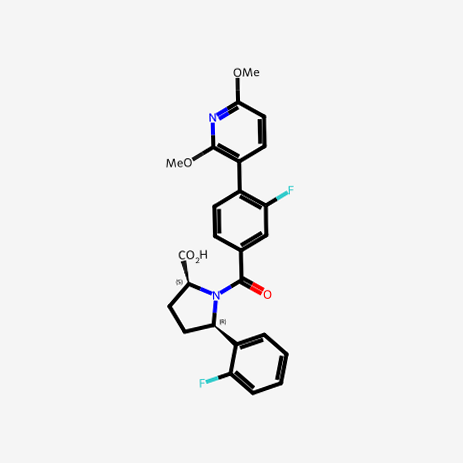 COc1ccc(-c2ccc(C(=O)N3[C@@H](c4ccccc4F)CC[C@H]3C(=O)O)cc2F)c(OC)n1